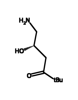 CC(C)(C)C(=O)C[C@H](O)CN